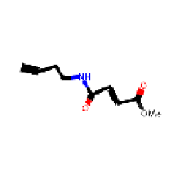 C#CCCNC(=O)/C=C/C(=O)OC